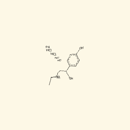 CCNCC(O)c1ccc(O)cc1.Cl.Cl.Cl.Cl.[Pd]